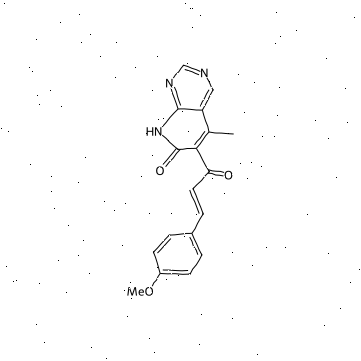 COc1ccc(/C=C/C(=O)c2c(C)c3cncnc3[nH]c2=O)cc1